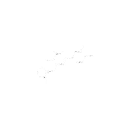 Cc1ncc(-c2ccc(F)c(C)c2F)cc1CN1CCOC1=O